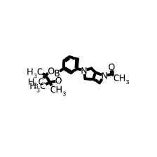 CC(=O)N1CC2CN(c3cccc(B4OC(C)(C)C(C)(C)O4)c3)CC21